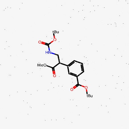 COC(=O)C(CNC(=O)OC(C)(C)C)c1cccc(C(=O)OC(C)(C)C)c1